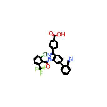 N#Cc1ccccc1-c1ccc2c(-c3ccc(C(=O)O)cc3)nn(C(=O)c3c(Cl)cccc3C(F)(F)F)c2c1